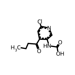 CCCC(=O)c1cc(Cl)ncc1NC(=O)O